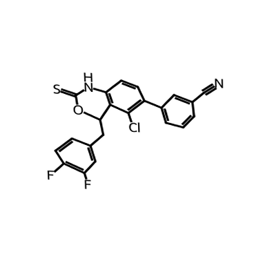 N#Cc1cccc(-c2ccc3c(c2Cl)C(Cc2ccc(F)c(F)c2)OC(=S)N3)c1